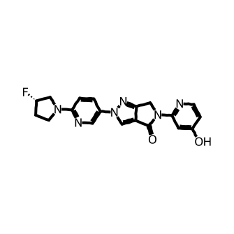 O=C1c2cn(-c3ccc(N4CC[C@H](F)C4)nc3)nc2CN1c1cc(O)ccn1